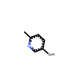 Cc1cc[c]([SnH])cn1